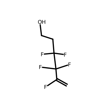 C=C(F)C(F)(F)C(F)(F)CCO